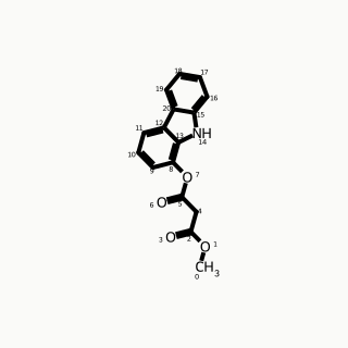 COC(=O)CC(=O)Oc1cccc2c1[nH]c1ccccc12